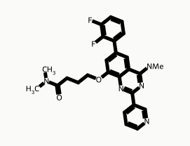 CNc1nc(-c2cccnc2)nc2c(OCCCC(=O)N(C)C)cc(-c3cccc(F)c3F)cc12